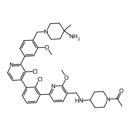 COc1cc(-c2nccc(-c3cccc(-c4ccc(CNC5CCN(C(C)=O)CC5)c(OC)n4)c3Cl)c2Cl)ccc1CN1CCC(C)(N)CC1